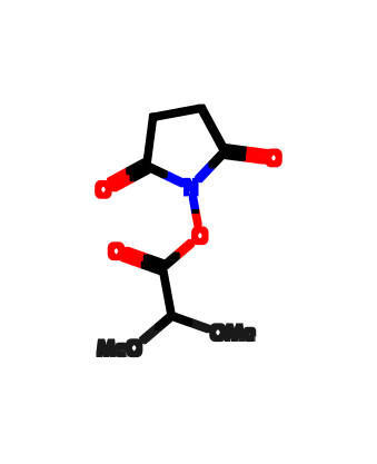 COC(OC)C(=O)ON1C(=O)CCC1=O